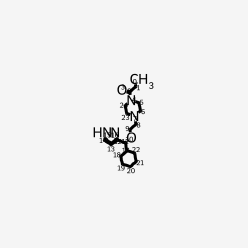 CCC(=O)N1CCN(CCOC(c2cc[nH]n2)C2CCCCC2)CC1